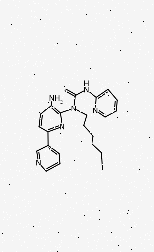 C=C(Nc1ccccn1)N(CCCCCC)c1nc(-c2cccnc2)ccc1N